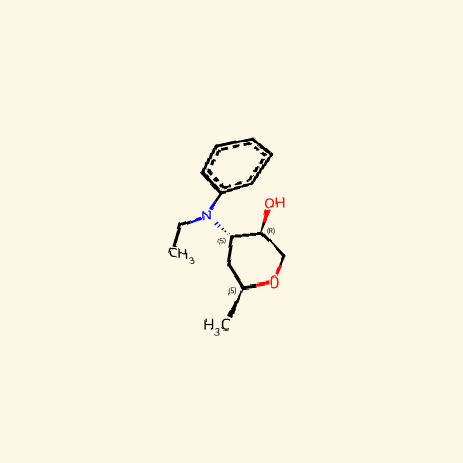 CCN(c1ccccc1)[C@H]1C[C@H](C)OC[C@@H]1O